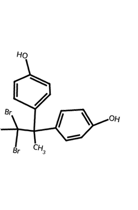 CC(c1ccc(O)cc1)(c1ccc(O)cc1)C(Br)(Br)Br